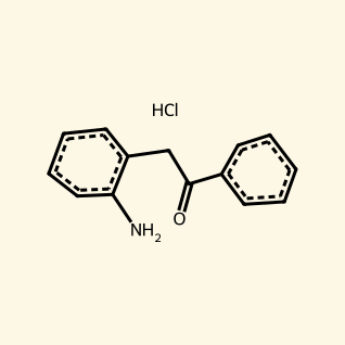 Cl.Nc1ccccc1CC(=O)c1ccccc1